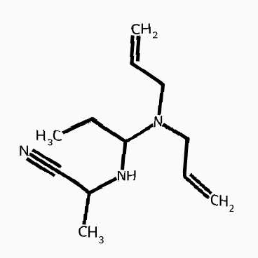 C=CCN(CC=C)C(CC)NC(C)C#N